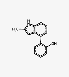 Cc1cc2c(-c3ccccc3O)cccc2[nH]1